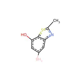 Bc1cc(O)c2sc(C)nc2c1